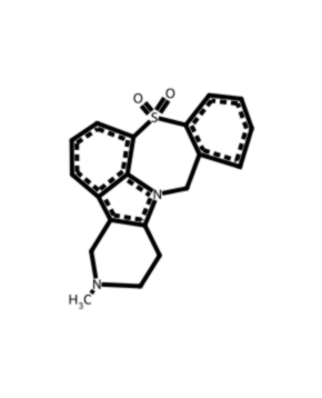 CN1CCc2c(c3cccc4c3n2Cc2ccccc2S4(=O)=O)C1